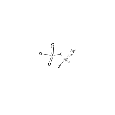 O=S(=O)([O-])[O-].O=[N+]([O-])[O-].[Ag+].[Cu+2]